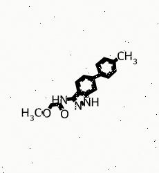 COCC(=O)Nc1n[nH]c2cc(-c3ccc(C)cc3)ccc12